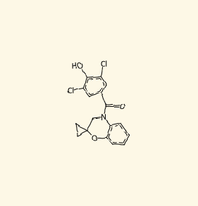 O=C(c1cc(Cl)c(O)c(Cl)c1)N1CC2(CC2)Oc2ccccc21